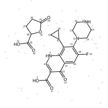 O=C(O)c1c[nH]c2c(C3CC3)c(N3CCNCC3)c(F)cc2c1=O.O=C1CCC(C(=O)O)O1